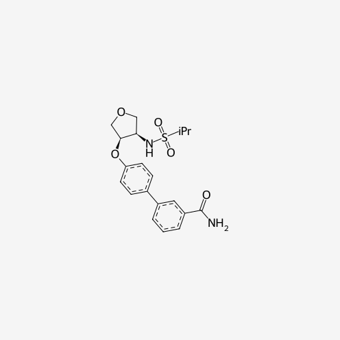 CC(C)S(=O)(=O)N[C@@H]1COC[C@@H]1Oc1ccc(-c2cccc(C(N)=O)c2)cc1